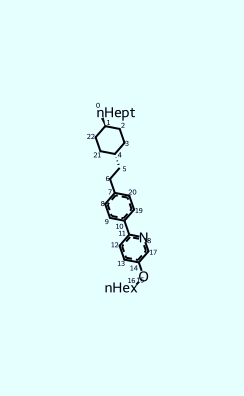 CCCCCCC[C@H]1CC[C@H](CCc2ccc(-c3ccc(OCCCCCC)cn3)cc2)CC1